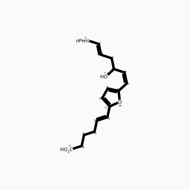 CCCCC/C=C/CC(O)/C=C\c1ccc(/C=C/CCCC(=O)O)o1